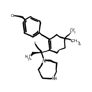 CC1(C)CCC(C(C)(I)N2CCNCC2)=C(c2ccc(Cl)cc2)C1